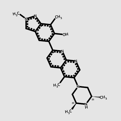 Cc1c(N2C[C@H](C)N[C@@H](C)C2)cnc2nc(-c3cc4cn(C)nc4c(C)c3O)ccc12